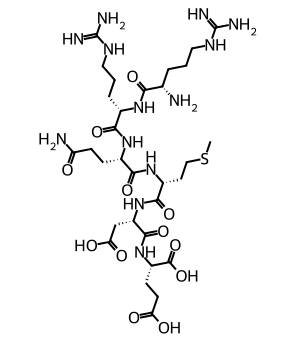 CSCC[C@@H](NC(=O)[C@H](CCC(N)=O)NC(=O)[C@H](CCCNC(=N)N)NC(=O)[C@@H](N)CCCNC(=N)N)C(=O)N[C@@H](CC(=O)O)C(=O)N[C@@H](CCC(=O)O)C(=O)O